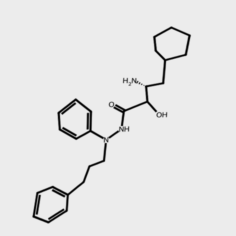 N[C@H](CC1CCCCC1)C(O)C(=O)NN(CCCc1ccccc1)c1ccccc1